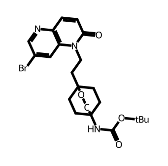 CC(C)(C)OC(=O)NC12CCC(CCn3c(=O)ccc4ncc(Br)cc43)(CC1)OC2